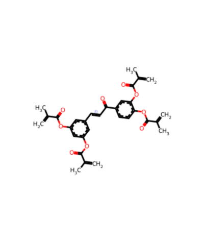 C=C(C)C(=O)Oc1cc(/C=C/C(=O)c2ccc(OC(=O)C(=C)C)c(OC(=O)C(=C)C)c2)cc(OC(=O)C(=C)C)c1